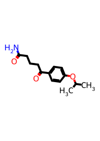 CC(C)Oc1ccc(C(=O)CCCC(N)=O)cc1